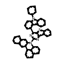 c1ccc(-n2c3ccccc3c3c(-c4nc(N5c6cc7ccccc7cc6-c6cccc7cccc5c67)nc5c4sc4ccccc45)cccc32)cc1